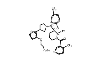 CCC[C@H]1N(C(=O)c2cnccc2C(F)(F)F)CCC[C@@]1(Oc1ccc(C(F)(F)F)cc1)C(=O)N1CCC(c2sccc2OCCOC)C1